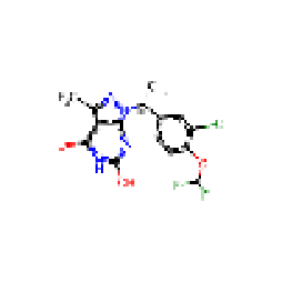 C[C@H](c1ccc(OC(F)F)c(Cl)c1)n1nc(C(F)(F)F)c2c(=O)[nH]c(O)nc21